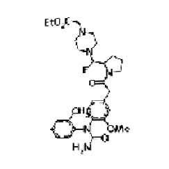 CCOC(=O)CN1CCN(C(F)C2CCCN2C(=O)Cc2ccc(N(C(N)=O)c3ccccc3C)c(OC)c2)CC1